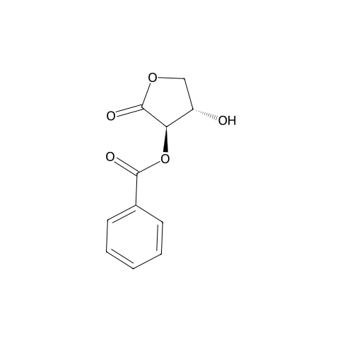 O=C(O[C@H]1C(=O)OC[C@@H]1O)c1ccccc1